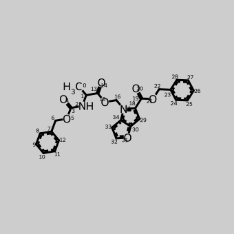 CC(NC(=O)OCc1ccccc1)C(=O)OCn1c(C(=O)OCc2ccccc2)cc2occc21